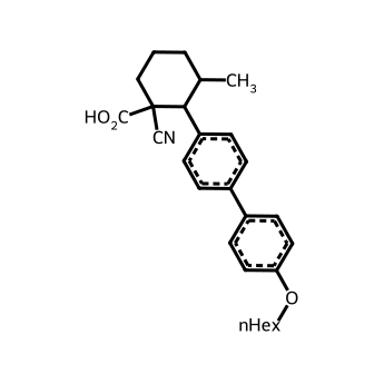 CCCCCCOc1ccc(-c2ccc(C3C(C)CCCC3(C#N)C(=O)O)cc2)cc1